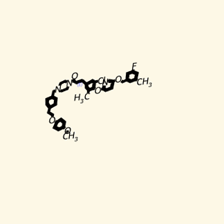 COc1ccc(OCCc2ccc(CN3CCN(C(=O)/C=C/c4cc(C)c(Oc5ccc(OCc6cc(C)cc(F)c6)cn5)c(Cl)c4)CC3)cc2)cc1